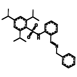 CC(C)c1cc(C(C)C)c(S(=O)(=O)Nc2ccccc2C=NCc2ccccc2)c(C(C)C)c1